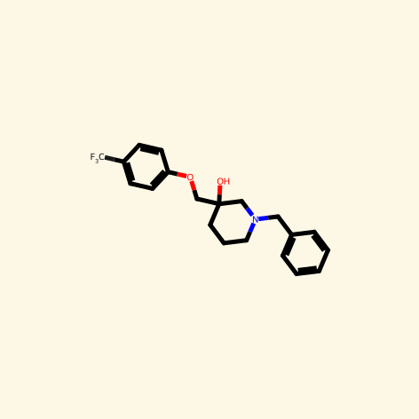 OC1(COc2ccc(C(F)(F)F)cc2)CCCN(Cc2ccccc2)C1